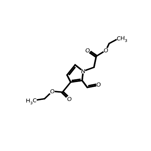 CCOC(=O)Cn1ccc(C(=O)OCC)c1C=O